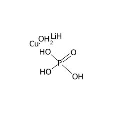 O.O=P(O)(O)O.[Cu].[LiH]